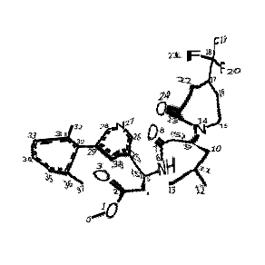 COC(=O)C[C@H](NC(=O)[C@H](CC(C)C)N1CCC(C(F)(F)F)CC1=O)c1cncc(-c2c(C)cccc2C)c1